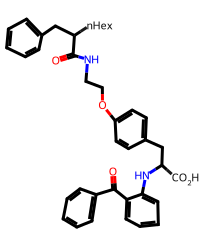 CCCCCCC(Cc1ccccc1)C(=O)NCCOc1ccc(CC(Nc2ccccc2C(=O)c2ccccc2)C(=O)O)cc1